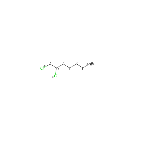 CCCCCCCCC(Cl)CCl